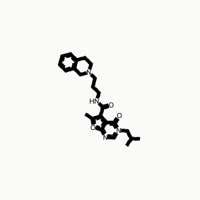 Cc1oc2ncn(CC(C)C)c(=O)c2c1C(=O)NCCCN1CCc2ccccc2C1